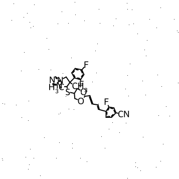 CC(SC1COC(/C=C/C=C/c2ccc(C#N)cc2F)OC1)C(C)(Cn1cncn1)c1ccc(F)cc1F